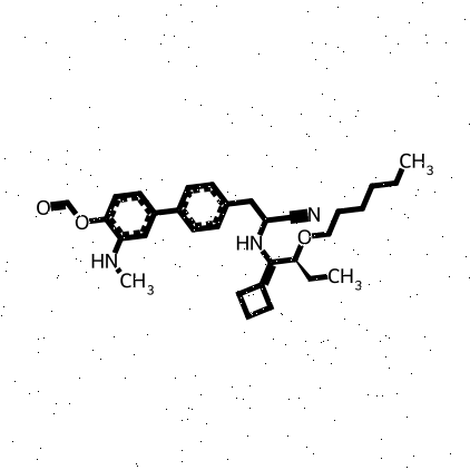 CCCCCCO[C@@H](CC)C(NC(C#N)Cc1ccc(-c2ccc(OC=O)c(NC)c2)cc1)=C1CCC1